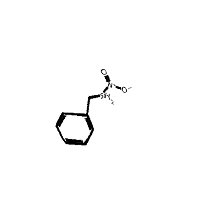 O=[N+]([O-])[SiH2]Cc1ccccc1